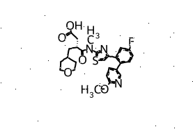 COc1ccc(-c2ccc(F)cc2-c2csc(N(C)C(=O)[C@@H](CC(=O)O)CC3CCOCC3)n2)cn1